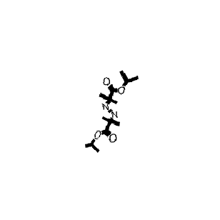 CC(C)OC(=O)C(C)(C)N=NC(C)(C)C(=O)OC(C)C